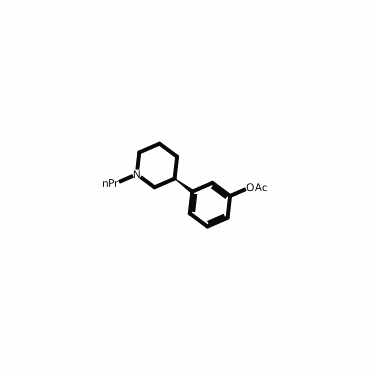 CCCN1CCC[C@@H](c2cccc(OC(C)=O)c2)C1